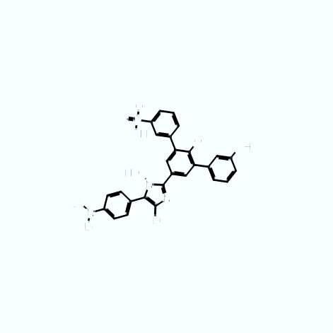 CCc1nc(-c2cc(-c3cccc(C=O)c3)c(O)c(-c3cccc(P(=O)(O)O)c3)c2)n(C)c1-c1ccc(N(CC)CC)cc1